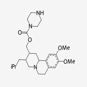 COc1cc2c(cc1OC)C1CC(COC(=O)N3CCNCC3)C(CC(C)C)CN1CC2